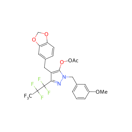 COc1cccc(Cn2nc(C(F)(F)C(F)(F)C(F)(F)F)c(Cc3ccc4c(c3)OCO4)c2OOC(C)=O)c1